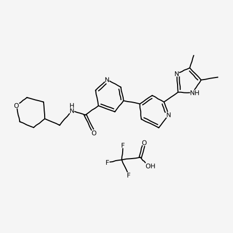 Cc1nc(-c2cc(-c3cncc(C(=O)NCC4CCOCC4)c3)ccn2)[nH]c1C.O=C(O)C(F)(F)F